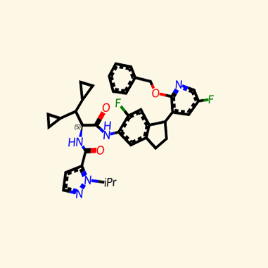 CC(C)n1nccc1C(=O)N[C@H](C(=O)Nc1cc2c(cc1F)C(c1cc(F)cnc1OCc1ccccc1)CC2)C(C1CC1)C1CC1